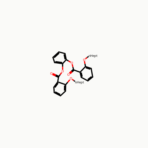 CCCCCCCOc1ccccc1C(=O)Oc1ccccc1OC(=O)c1ccccc1OCCCCCCC